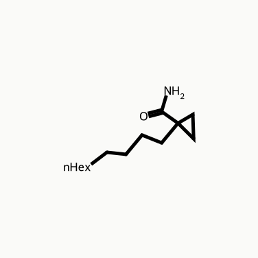 CCCCCCCCCCC1(C(N)=O)CC1